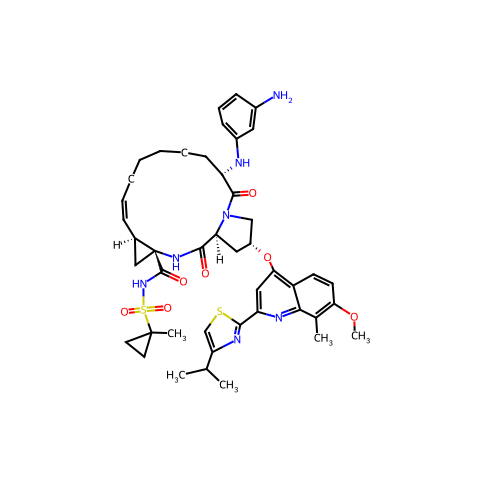 COc1ccc2c(O[C@@H]3C[C@H]4C(=O)N[C@]5(C(=O)NS(=O)(=O)C6(C)CC6)C[C@H]5/C=C\CCCCC[C@H](Nc5cccc(N)c5)C(=O)N4C3)cc(-c3nc(C(C)C)cs3)nc2c1C